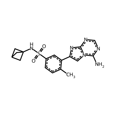 Cc1ccc(S(=O)(=O)NC23CC(C2)C3)cc1-c1cn2c(N)ncnc2n1